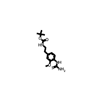 COc1cc(CCNC(=O)OC(C)(C)C)ccc1NC(N)=S